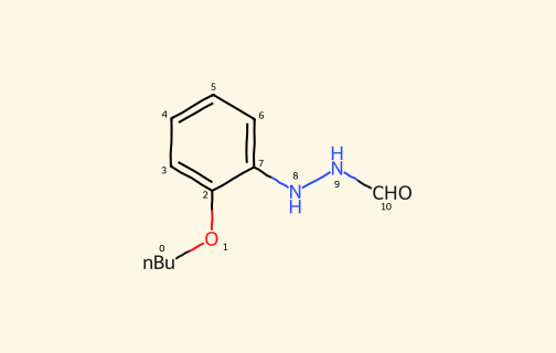 CCCCOc1ccccc1NNC=O